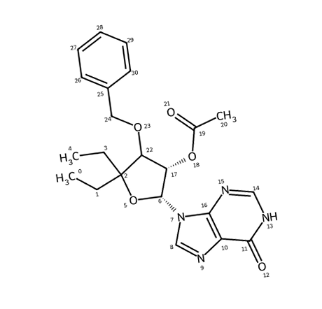 CCC1(CC)O[C@@H](n2cnc3c(=O)[nH]cnc32)[C@@H](OC(C)=O)C1OCc1ccccc1